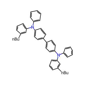 CCCCc1cccc(N(c2ccccc2)c2ccc(-c3ccc(N(c4ccccc4)c4cccc(CCCC)c4)cc3)cc2)c1